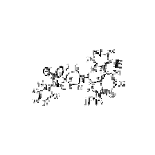 CC(C)n1cc(CN2CCC3(CC2)CN(c2ccccc2)C(=O)O3)c2c(-c3ccncc3F)cccc21